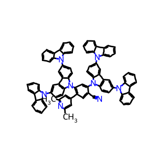 Cc1cc(-c2cc(C#N)c(-n3c4ccc(-n5c6ccccc6c6ccccc65)cc4c4cc(-n5c6ccccc6c6ccccc65)ccc43)cc2-n2c3ccc(-n4c5ccccc5c5ccccc54)cc3c3cc(-n4c5ccccc5c5ccccc54)ccc32)cc(C)n1